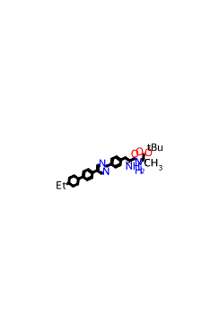 CCC1CCC(c2ccc(-c3cnc(-c4ccc(C[C@H](N)C(=O)N[C@H](C)C(=O)OC(C)(C)C)cc4)nc3)cc2)CC1